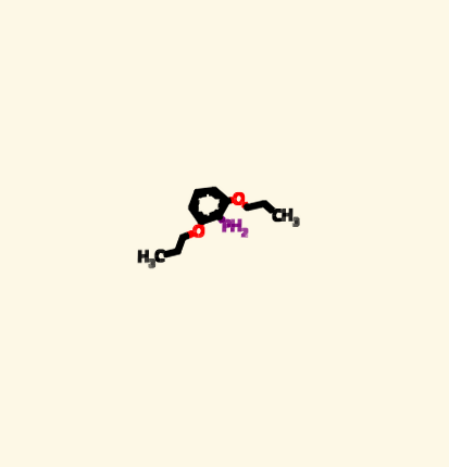 CCCOc1cccc(OCCC)c1P